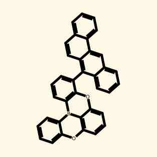 c1ccc2c(c1)Oc1cccc3c1B2c1cccc(-c2c4ccccc4cc4c2ccc2ccccc24)c1O3